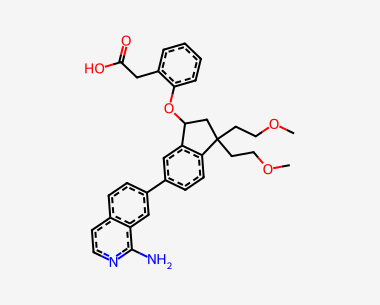 COCCC1(CCOC)CC(Oc2ccccc2CC(=O)O)c2cc(-c3ccc4ccnc(N)c4c3)ccc21